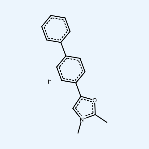 Cc1oc(-c2ccc(-c3ccccc3)cc2)c[n+]1C.[I-]